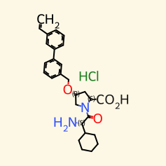 C=Cc1cccc(-c2cccc(CO[C@@H]3C[C@@H](C(=O)O)N(C(=O)[C@@H](N)C4CCCCC4)C3)c2)c1.Cl